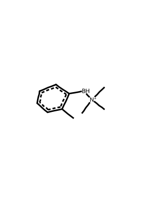 Cc1ccccc1B[N+](C)(C)C